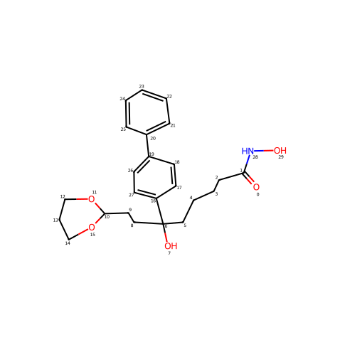 O=C(CCCCC(O)(CCC1OCCCO1)c1ccc(-c2ccccc2)cc1)NO